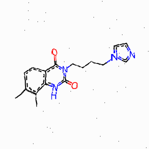 Cc1ccc2c(=O)n(CCCCn3ccnc3)c(=O)[nH]c2c1C